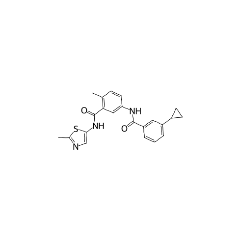 Cc1ncc(NC(=O)c2cc(NC(=O)c3cccc(C4CC4)c3)ccc2C)s1